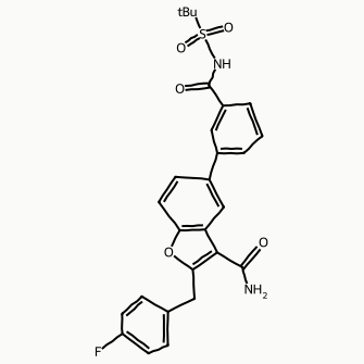 CC(C)(C)S(=O)(=O)NC(=O)c1cccc(-c2ccc3oc(Cc4ccc(F)cc4)c(C(N)=O)c3c2)c1